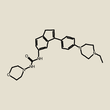 CCN1CCN(c2ccc(C3=CCc4ccc(NC(=O)NN5CCOCC5)cc43)cc2)CC1